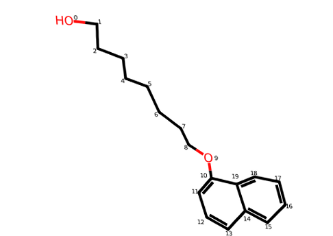 OCCCCCCCCOc1cccc2ccccc12